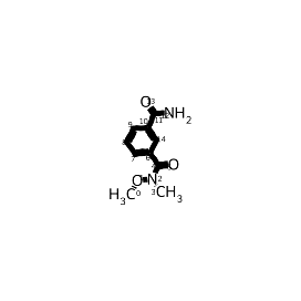 CON(C)C(=O)c1cccc(C(N)=O)c1